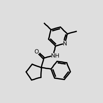 Cc1cc(C)nc(NC(=O)C2(c3ccccc3)CCCC2)c1